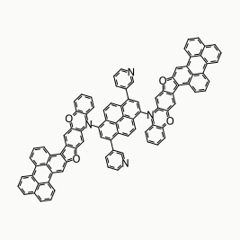 c1cncc(-c2cc(-n3c4ccccc4oc4cc5c(cc43)oc3cc4c6cccc7cccc(c8cccc(c35)c84)c76)c3ccc4c(-c5cccnc5)cc(-n5c6ccccc6oc6cc7c(cc65)oc5cc6c8cccc9cccc(c%10cccc(c57)c%106)c98)c5ccc2c3c45)c1